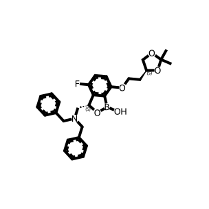 CC1(C)OC[C@H](CCOc2ccc(F)c3c2B(O)O[C@@H]3CN(Cc2ccccc2)Cc2ccccc2)O1